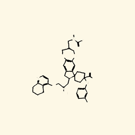 CC(=O)N(C)CC1COc2cc3c(cc2OC1)C1(CCC(Nc2cccc(Cl)c2)(C(=O)O)CC1)C(C[C@@H](C)COc1ccnc2c1CCCC2)C3